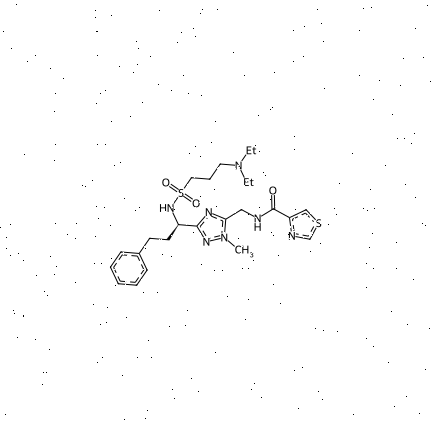 CCN(CC)CCCS(=O)(=O)N[C@H](CCc1ccccc1)c1nc(CNC(=O)c2cscn2)n(C)n1